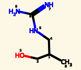 CC(CO)CNC(=N)N